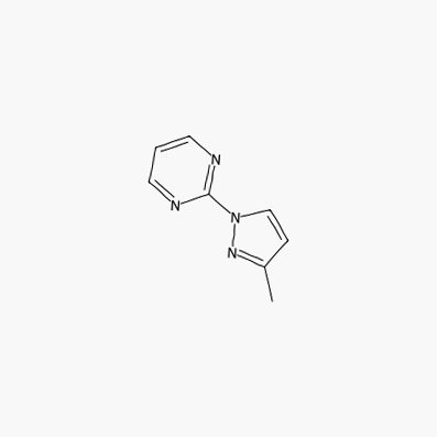 Cc1ccn(-c2ncccn2)n1